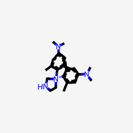 Cc1cc(N(C)C)cc(C)c1[N+]1(c2c(C)cc(N(C)C)cc2C)CCNC1